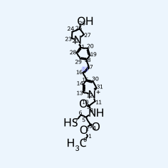 CCOC(=O)C(CS)NC(=O)C[n+]1ccc(/C=C/c2ccc(N3CCC(O)C3)cc2)cc1